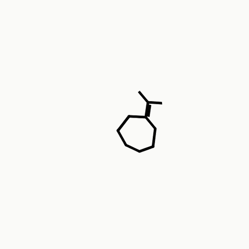 CC(C)=C1CCCCCC1